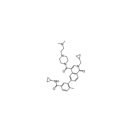 Cc1ccc(C(=O)NC2CC2)cc1-c1ccc2c(=O)n(CC3CC3)cc(C(=O)N3CCN(CCN(C)C)CC3)c2c1